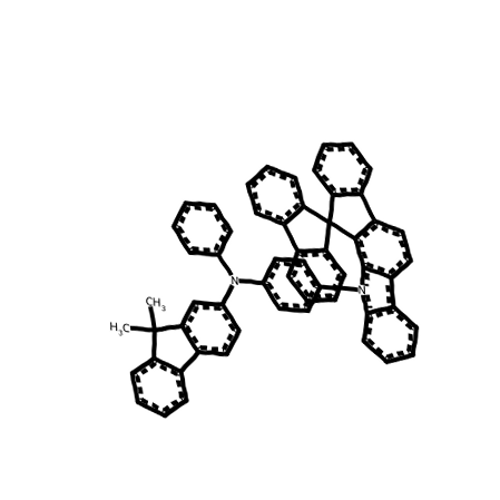 CC1(C)c2ccccc2-c2ccc(N(c3ccccc3)c3ccc(-n4c5ccccc5c5ccc6c(c54)C4(c5ccccc5-c5ccccc54)c4ccccc4-6)cc3)cc21